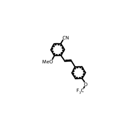 COc1ccc(C#N)cc1C=Cc1ccc(OC(F)(F)F)cc1